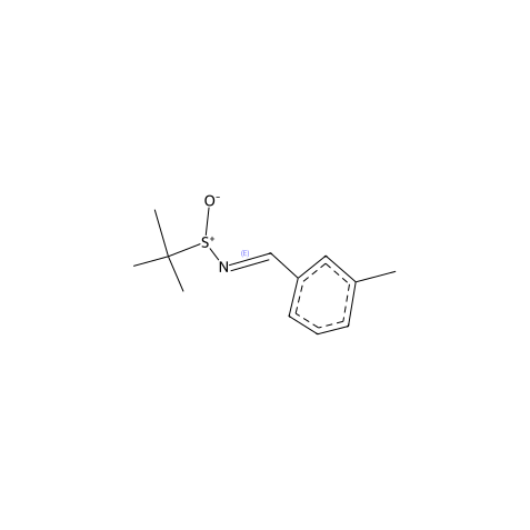 Cc1cccc(/C=N/[S+]([O-])C(C)(C)C)c1